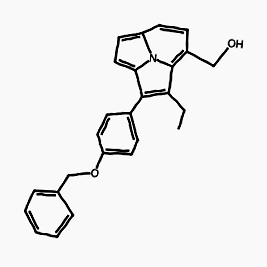 CCc1c(-c2ccc(OCc3ccccc3)cc2)c2ccc3ccc(CO)c1n32